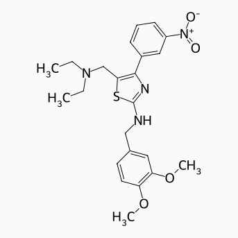 CCN(CC)Cc1sc(NCc2ccc(OC)c(OC)c2)nc1-c1cccc([N+](=O)[O-])c1